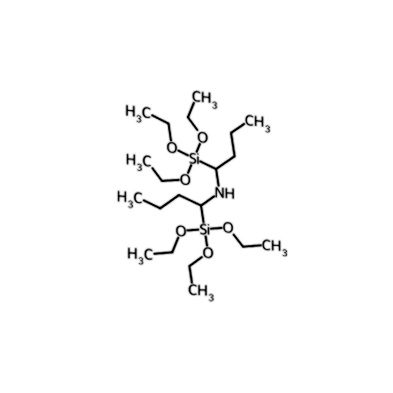 CCCC(NC(CCC)[Si](OCC)(OCC)OCC)[Si](OCC)(OCC)OCC